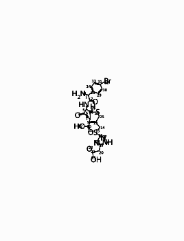 NC(C(=O)NC1C(=O)N2C(C(=O)O)=C(CSc3n[nH]c(CC(=O)O)n3)CS[C@H]12)c1ccc(Br)cc1